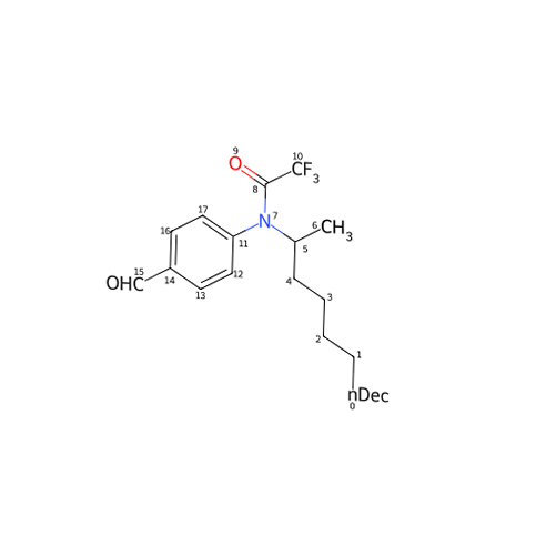 CCCCCCCCCCCCCCC(C)N(C(=O)C(F)(F)F)c1ccc(C=O)cc1